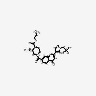 CCCOC(=O)N1CCN(C(=O)c2ccc3c(Cl)cc(-c4cnn(CC(F)(F)F)c4)nc3c2)C[C@H]1N